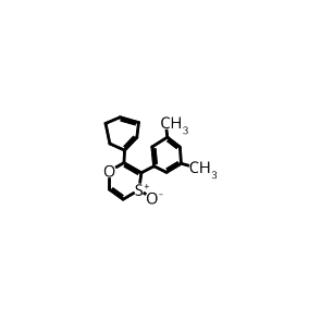 Cc1cc(C)cc(C2=C(C3=CC=CCC3)OC=C[S+]2[O-])c1